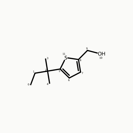 CCC(C)(C)c1ccc(CO)s1